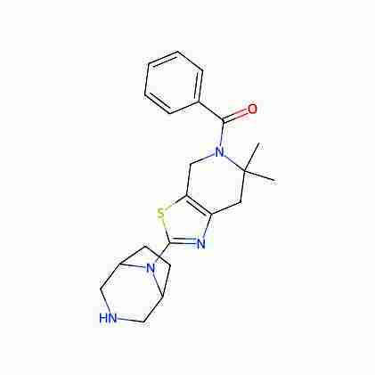 CC1(C)Cc2nc(N3C4CCC3CNC4)sc2CN1C(=O)c1ccccc1